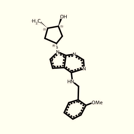 [CH2][C@H]1C[C@@H](n2ccc3c(NCc4ccccc4OC)ncnc32)C[C@@H]1O